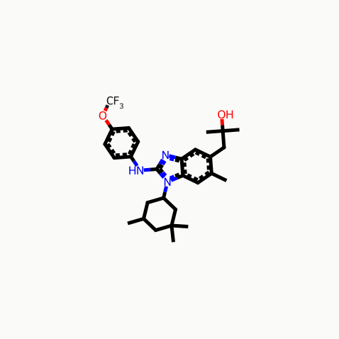 Cc1cc2c(cc1CC(C)(C)O)nc(Nc1ccc(OC(F)(F)F)cc1)n2C1CC(C)CC(C)(C)C1